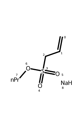 C=CCS(=O)(=O)OCCC.[NaH]